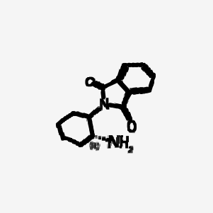 N[C@@H]1CCCCC1N1C(=O)c2ccccc2C1=O